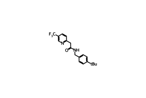 CC(C)(C)c1ccc(CNC(=O)Cc2ccc(C(F)(F)F)cn2)cc1